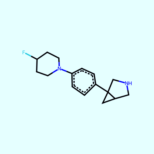 FC1CCN(c2ccc(C34CNCC3C4)cc2)CC1